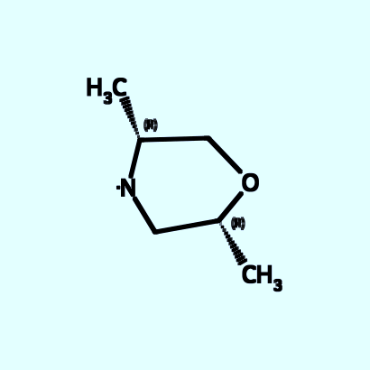 C[C@@H]1CO[C@H](C)C[N]1